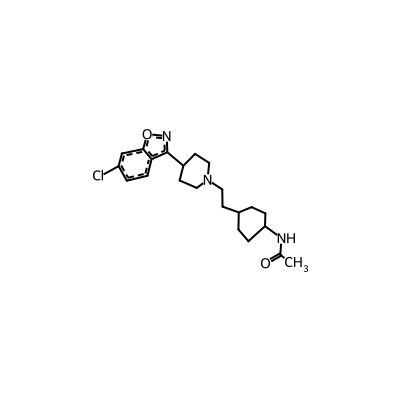 CC(=O)NC1CCC(CCN2CCC(c3noc4cc(Cl)ccc34)CC2)CC1